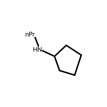 [CH2]CCNC1CCCC1